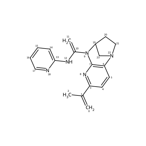 C=C(C)c1ccc2c(n1)N(C(=C)Nc1ccccn1)C1CCN2C1